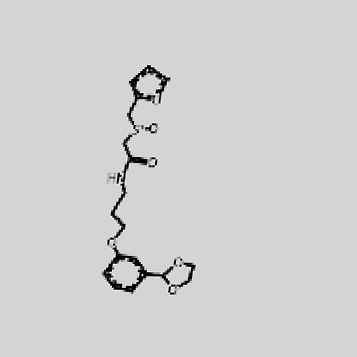 O=C(C[S+]([O-])Cc1ccco1)NCCCOc1cccc(C2OCCO2)c1